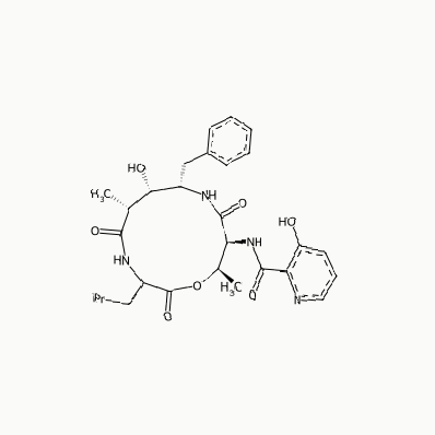 CC(C)CC1NC(=O)[C@H](C)[C@H](O)[C@H](Cc2ccccc2)NC(=O)[C@@H](NC(=O)c2ncccc2O)[C@@H](C)OC1=O